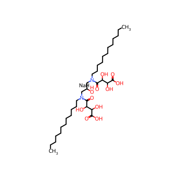 CCCCCCCCCCCCN(CC(O)CN(CCCCCCCCCCCC)C(=O)C(O)C(O)C(=O)O)C(=O)C(O)C(O)C(=O)O.[NaH]